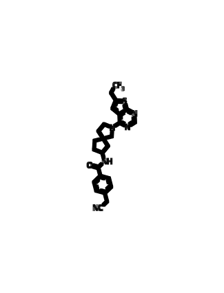 N#CCc1ccc(C(=O)NC2CCC3(CCN(c4ncnc5sc(CC(F)(F)F)cc45)C3)C2)cc1